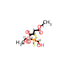 CCOC(=O)CC(SP(=S)(CO)CO)C(=O)OCC